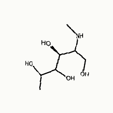 CNC(CO)[C@H](O)C(O)C(C)O